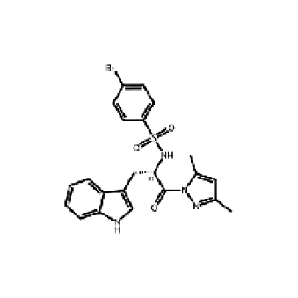 Cc1cc(C)n(C(=O)[C@H](Cc2c[nH]c3ccccc23)NS(=O)(=O)c2ccc(Br)cc2)n1